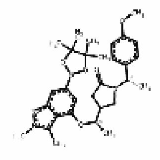 COc1ccc([C@H](C)N2CC([C@@H](C)Oc3cc(B4OC(C)(C)C(C)(C)O4)cc4nn(C)c(C)c34)CC2=O)cc1